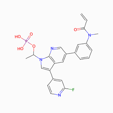 C=CC(=O)N(C)c1cccc(-c2cnc3c(c2)c(-c2ccnc(F)c2)cn3C(C)OP(=O)(O)O)c1